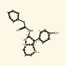 O=C(Cc1ccccc1)Nc1nn2cccnc2c1-c1ccc(Cl)cc1